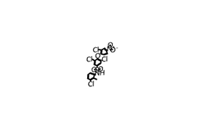 Cc1c(Cl)cccc1NS(=O)(=O)c1cc(Cl)c(Oc2ccc([N+](=O)[O-])cc2Cl)c(Cl)c1